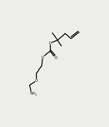 C=CCC(C)(C)OC(=O)OCCOCN